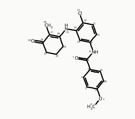 COc1ccc(C(=O)Nc2ccc(Cl)c(NC3=C(C)C(=O)CCC3)c2)cc1